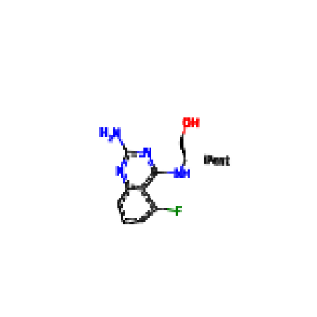 CCC[C@H](C)[C@H](CO)Nc1nc(N)nc2cccc(F)c12